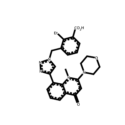 CCc1c(Cn2cc(-c3cccc4c(=O)cc(N5CCOCC5)n(C)c34)nn2)cccc1C(=O)O